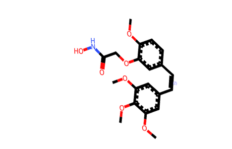 COc1ccc(/C=C\c2cc(OC)c(OC)c(OC)c2)cc1OCC(=O)NO